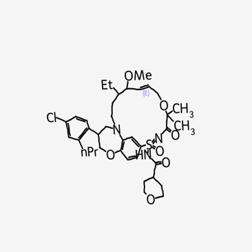 CCCc1cc(Cl)ccc1C1COc2ccc3cc2N(CCC(CC)C(OC)/C=C/COC(C)(C)C(=O)N=S3(=O)NC(=O)C2CCOCC2)C1